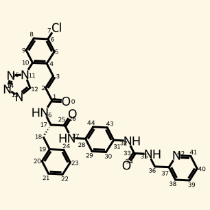 O=C(/C=C/c1cc(Cl)ccc1-n1cnnn1)N[C@@H](Cc1ccccc1)C(=O)Nc1ccc(NC(=O)NCc2ccccn2)cc1